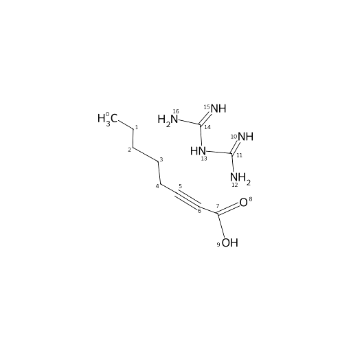 CCCCCC#CC(=O)O.N=C(N)NC(=N)N